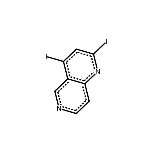 Ic1cc(I)c2cnccc2n1